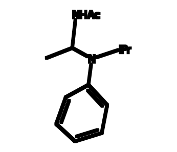 CC(=O)NC(C)N(c1ccccc1)C(C)C